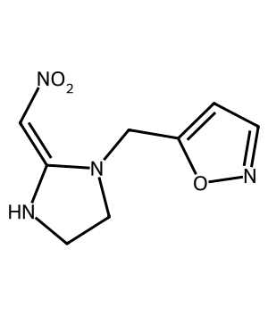 O=[N+]([O-])C=C1NCCN1Cc1ccno1